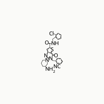 N#Cc1ccccc1Cn1c(N2CCC[C@@H](N)C2)nc2cc(C(=O)NCc3ccccc3Cl)sc2c1=O